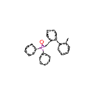 Cc1ccccc1-c1ccccc1CP(=O)(c1ccccc1)c1ccccc1